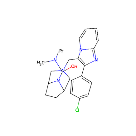 CC(C)N(C)C(O)N1C2CCC1CN(Cc1c(-c3ccc(Cl)cc3)nc3ccccn13)C2